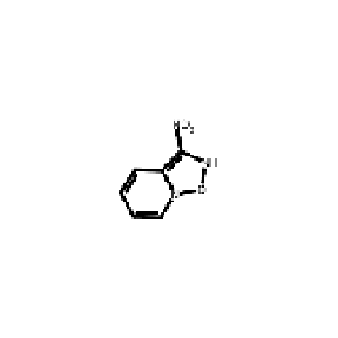 O=[N+]([O-])C1=C2C=CC=CN2ON1